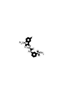 CN1C(=O)C(=NNC(=S)Nc2cccc(S(N)(=O)=O)c2)c2cc(I)ccc21